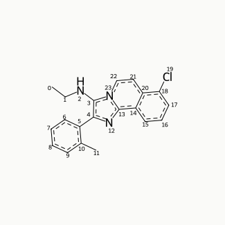 CCNc1c(-c2ccccc2C)nc2c3cccc(Cl)c3ccn12